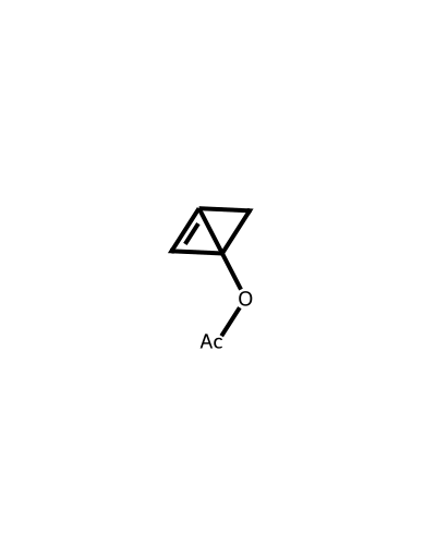 CC(=O)OC12C=C1C2